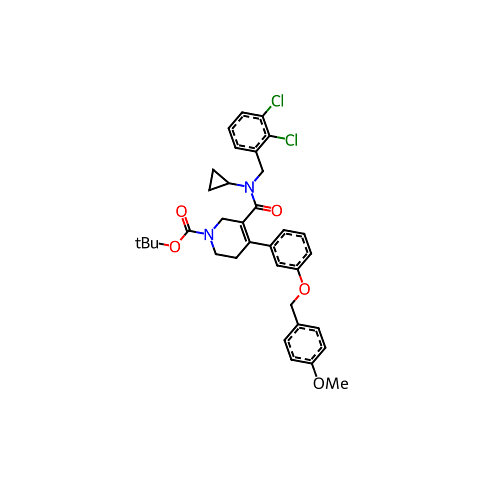 COc1ccc(COc2cccc(C3=C(C(=O)N(Cc4cccc(Cl)c4Cl)C4CC4)CN(C(=O)OC(C)(C)C)CC3)c2)cc1